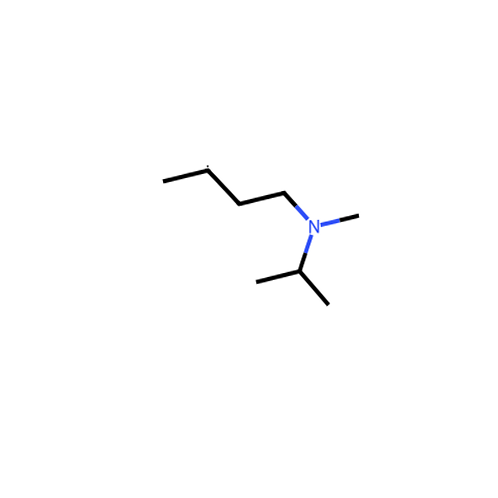 C[CH]CCN(C)C(C)C